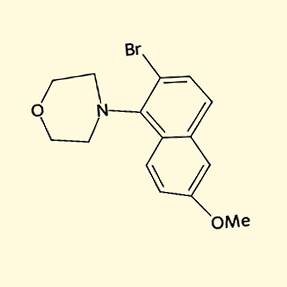 COc1ccc2c(N3CCOCC3)c(Br)ccc2c1